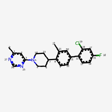 Cc1cc(N2CCC(c3ccc(-c4ccc(F)cc4Cl)cc3C)CC2)ncn1